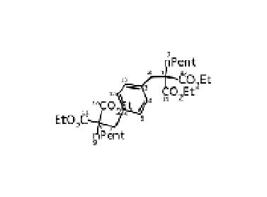 CCCCCC(Cc1ccc(CC(CCCCC)(C(=O)OCC)C(=O)OCC)cc1)(C(=O)OCC)C(=O)OCC